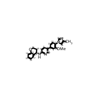 COc1cc(-c2ccc(N[C@@H]3CCOc4ccccc43)nn2)ccc1-n1cnc(C)c1